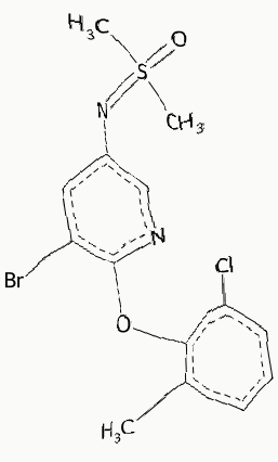 Cc1cccc(Cl)c1Oc1ncc(N=S(C)(C)=O)cc1Br